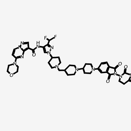 O=C1CCN(N2C(=O)c3ccc(N4CCC(N5CCC(CN6CCC(n7cc(NC(=O)c8cnn9ccc(N%10CCOCC%10)nc89)c(C(F)F)n7)CC6)CC5)CC4)cc3C2=O)C(=O)N1